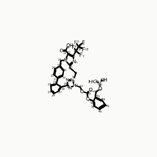 CCCc1nc(C(F)(F)C(F)(F)F)c(C(=O)O)n1Cc1ccc(-c2ccccc2-c2nnn(COC(=O)Oc3ccccc3CON(O)O)n2)cc1